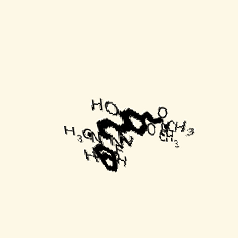 CN(C)C(=O)c1cc2cc(O)c(-c3ccc(N(C)[C@H]4C[C@@H]5CC[C@@H](C5)[C@H]4F)nn3)cc2o1